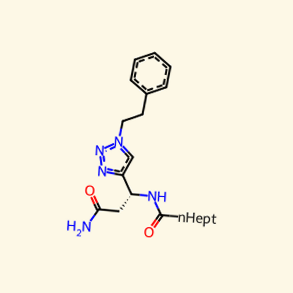 CCCCCCCC(=O)N[C@H](CC(N)=O)c1cn(CCc2ccccc2)nn1